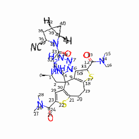 C[C@H](CC1(C(=N)/N=N\N)c2cc(C(=O)N(C)C)sc2CCc2sc(C(=O)N(C)C)cc21)NCC(=O)N1C(C#N)C[C@@H]2C[C@@H]21